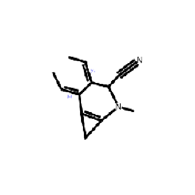 C/C=C1/C2=C(C2)N(C)C(C#N)/C1=C/C